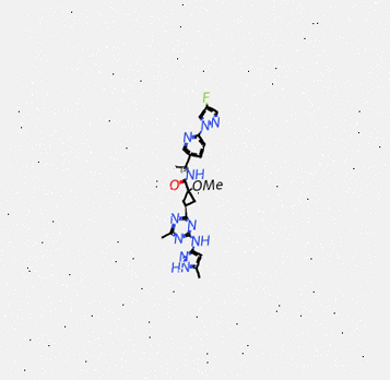 CO[C@]1(C(=O)N[C@@H](C)c2ccc(-n3cc(F)cn3)nc2)C[C@H](c2nc(C)nc(Nc3cc(C)[nH]n3)n2)C1